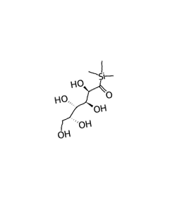 C[Si](C)(C)C(=O)[C@H](O)[C@@H](O)[C@@H](O)[C@H](O)CO